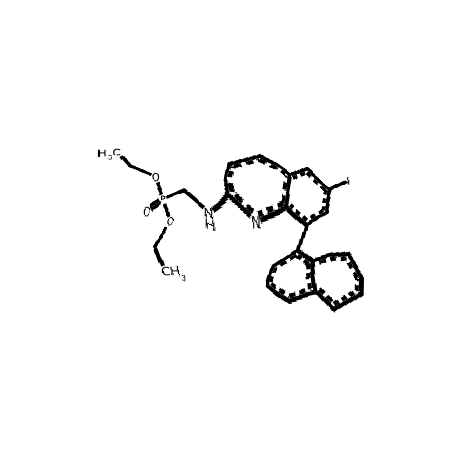 CCOP(=O)(CNc1ccc2cc(I)cc(-c3cccc4ccccc34)c2n1)OCC